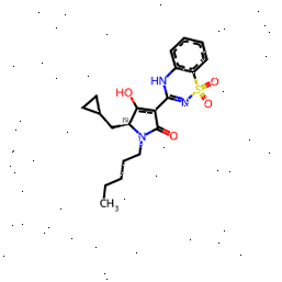 CCCCCN1C(=O)C(C2=NS(=O)(=O)c3ccccc3N2)=C(O)[C@@H]1CC1CC1